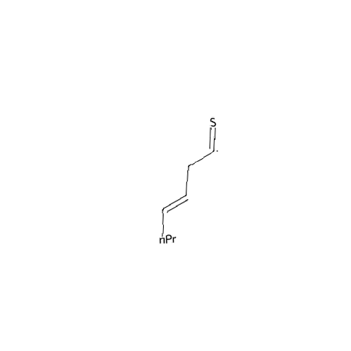 CCC/C=C/C[C]=S